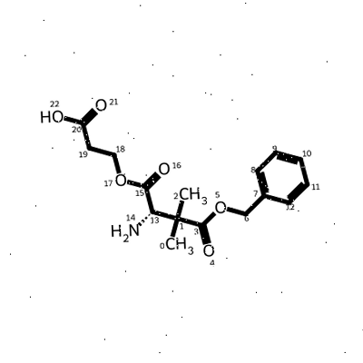 CC(C)(C(=O)OCc1ccccc1)[C@H](N)C(=O)OCCC(=O)O